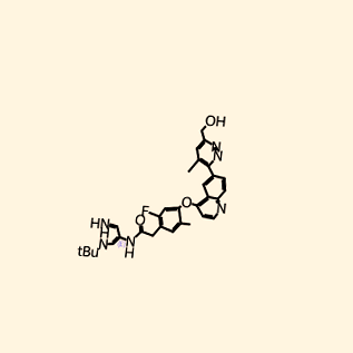 Cc1cc(CC(=O)N/C(C=N)=C/NC(C)(C)C)c(F)cc1Oc1ccnc2ccc(-c3nnc(CO)cc3C)cc12